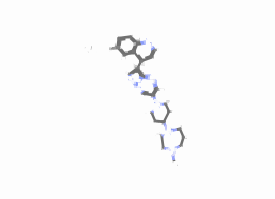 COc1ccc2nccc(-c3cnn4cc(N5CCC(N6CCCN(C)CC6)CC5)cnc34)c2c1